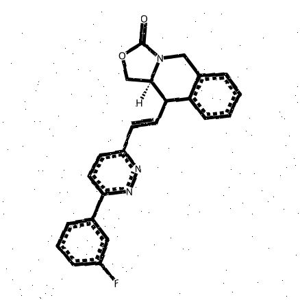 O=C1OC[C@@H]2C(/C=C/c3ccc(-c4cccc(F)c4)nn3)c3ccccc3CN12